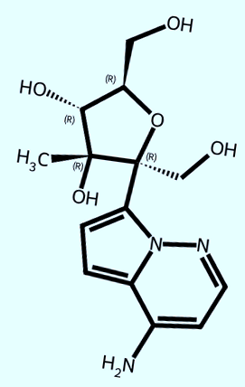 C[C@@]1(O)[C@H](O)[C@@H](CO)O[C@@]1(CO)c1ccc2c(N)ccnn12